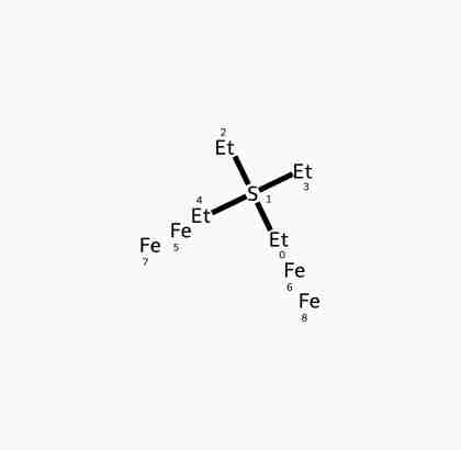 CCS(CC)(CC)CC.[Fe].[Fe].[Fe].[Fe]